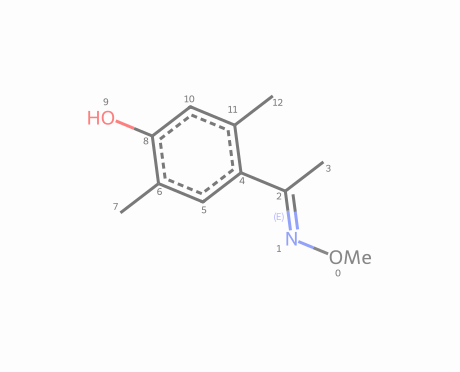 CO/N=C(\C)c1cc(C)c(O)cc1C